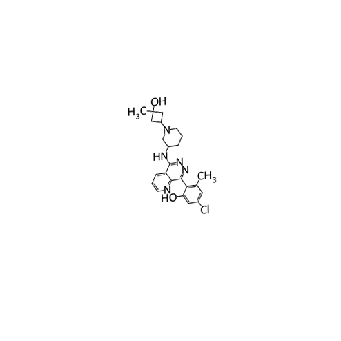 Cc1cc(Cl)cc(O)c1-c1nnc(NC2CCCN(C3CC(C)(O)C3)C2)c2cccnc12